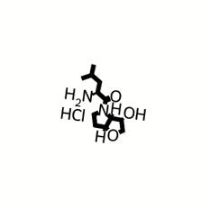 CC(C)C[C@H](N)C(=O)N1CC[C@H]2OC[C@H](O)[C@H]21.Cl